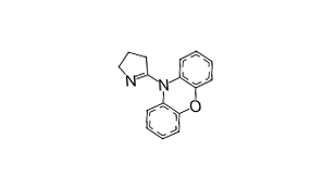 c1ccc2c(c1)Oc1ccccc1N2C1=NCCC1